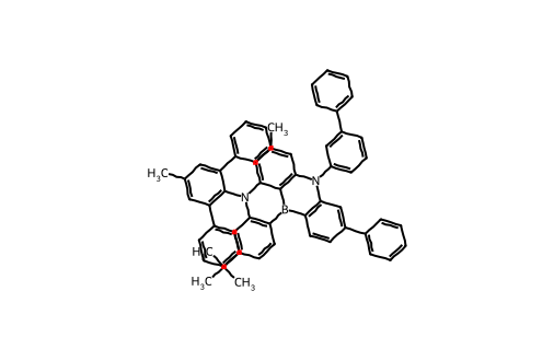 Cc1cc(-c2ccccc2)c(N2c3cc(C(C)(C)C)ccc3B3c4ccc(-c5ccccc5)cc4N(c4cccc(-c5ccccc5)c4)c4cc(C)cc2c43)c(-c2ccccc2)c1